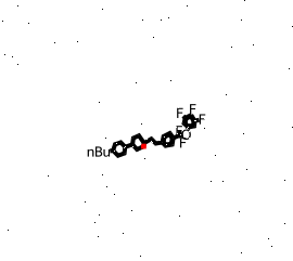 CCCCC1CCC(C2CCC(CCc3ccc(C(F)(F)Oc4cc(F)c(F)c(F)c4)cc3)CC2)CC1